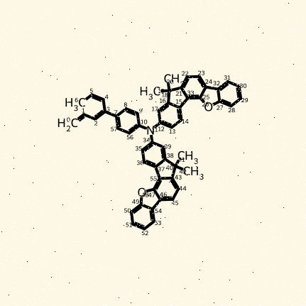 C=C/C=C(\C=C/C)c1ccc(N(c2ccc3c(c2)C(C)(C)c2ccc4c(oc5ccccc54)c2-3)c2ccc3c(c2)C(C)(C)c2ccc4c(oc5ccccc54)c2-3)cc1